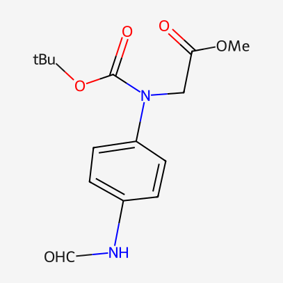 COC(=O)CN(C(=O)OC(C)(C)C)c1ccc(NC=O)cc1